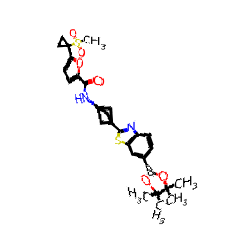 CC1(C)OB(c2ccc3nc(C45CC(NC(=O)c6ccc(C7(S(C)(=O)=O)CC7)o6)(C4)C5)sc3c2)OC1(C)C